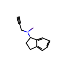 C#CCN(I)[C@@H]1CCc2ccccc21